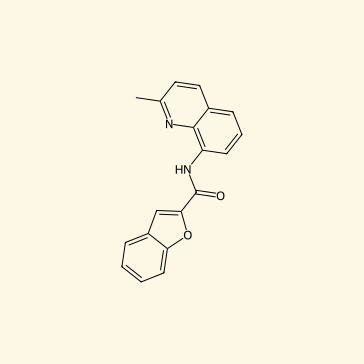 Cc1ccc2cccc(NC(=O)c3cc4ccccc4o3)c2n1